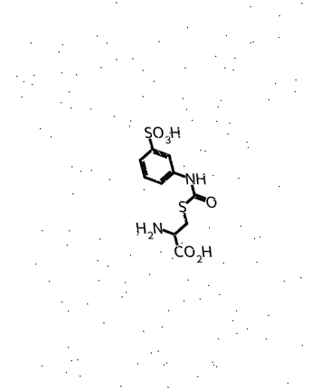 NC(CSC(=O)Nc1cccc(S(=O)(=O)O)c1)C(=O)O